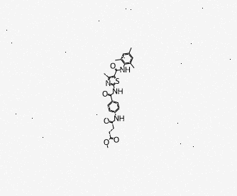 COC(=O)CCC(=O)Nc1ccc(C(=O)Nc2nc(C)c(C(=O)Nc3c(C)cc(C)cc3C)s2)cc1